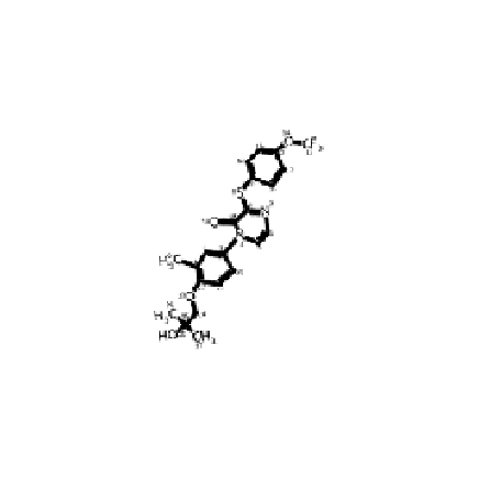 Cc1cc(-n2ccnc(Sc3ccc(OC(F)(F)F)cc3)c2=O)ccc1OCC(C)(C)O